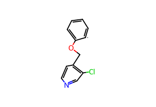 Clc1cnccc1COc1[c]cccc1